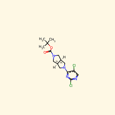 CC(C)(C)OC(=O)N1C[C@@H]2CN(c3nc(Cl)ncc3Cl)C[C@@H]2C1